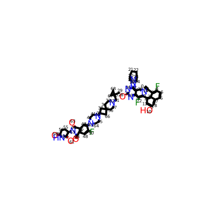 C#Cc1c(F)ccc2cc(O)cc(-c3ncc4c(N5CC6CCC(C5)N6)nc(OCC5(CN6CCC7(CC6)CC(N6CCN(c8cc9c(cc8F)C(=O)N(C8CCC(=O)NC8=O)C9=O)CC6)C7)CC5)nc4c3F)c12